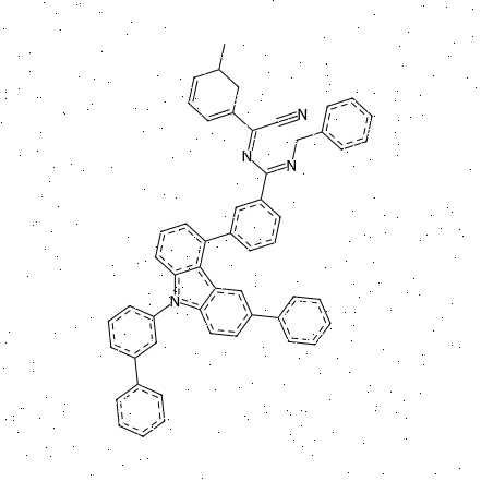 CC1C=CC=C(/C(C#N)=N/C(=N\Cc2ccccc2)c2cccc(-c3cccc4c3c3cc(-c5ccccc5)ccc3n4-c3cccc(-c4ccccc4)c3)c2)C1